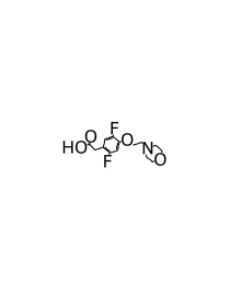 O=C(O)Cc1cc(F)c(OCCN2CCOCC2)cc1F